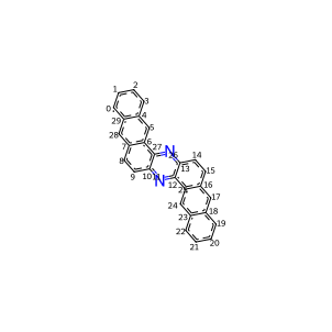 [c]1cccc2cc3c(ccc4nc5c(ccc6cc7ccccc7cc65)nc43)cc12